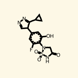 O=C1CN(c2c(O)cc(C3C=NN=C3C3CC3)cc2F)S(=O)(=O)N1